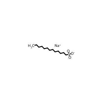 CCCCCCCCCCCCCS(=O)(=O)[O-].[Na+]